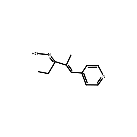 CCC(=N\O)/C(C)=C/c1ccncc1